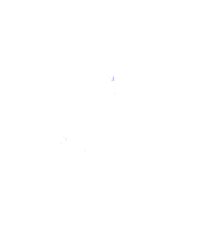 N=C(N)c1ccc2c(c1)CC(=O)N2N